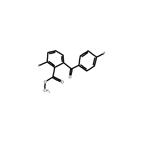 COC(=O)c1c(I)cccc1C(=O)c1ccc(F)cc1